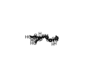 Cc1ccc(F)c(NC(=O)Nc2ccc(Oc3ccnc(-c4cc(C(=O)NC(CCC(=O)OCC(O)CO)C(=O)OCC(O)CO)c[nH]4)c3)cc2)c1